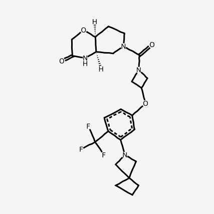 O=C1CO[C@H]2CCN(C(=O)N3CC(Oc4ccc(C(F)(F)F)c(N5CC6(CCC6)C5)c4)C3)C[C@H]2N1